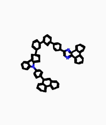 c1cc(-c2ccc(-c3cnc4c5ccccc5c5ccccc5c4n3)cc2)cc(-c2cccc(-c3ccc4c(c3)c3ccccc3n4-c3ccc(-c4cc5ccccc5c5ccccc45)cc3)c2)c1